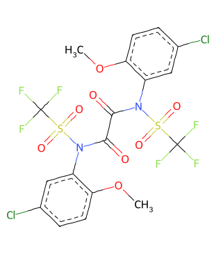 COc1ccc(Cl)cc1N(C(=O)C(=O)N(c1cc(Cl)ccc1OC)S(=O)(=O)C(F)(F)F)S(=O)(=O)C(F)(F)F